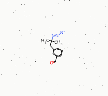 CC(C)(Cc1cccc(C=O)c1)N=[N+]=[N-]